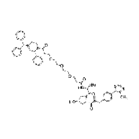 Cc1ncsc1-c1ccc(CNC(=O)[C@@H]2C[C@@H](O)CN2C(=O)[C@@H](NC(=O)CCOCCOCCOCCC(=O)N2CCN(C(c3ccccc3)c3ccccc3)C[C@H]2c2ccccc2)C(C)(C)C)cc1